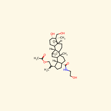 C=C(COC(C)=O)[C@@H]1CC[C@]2(C(=O)NCCO)CC[C@]3(C)C(CC[C@@H]4[C@@]5(C)CC[C@H](O)[C@@](C)(CO)[C@@H]5CC[C@]43C)[C@@H]12